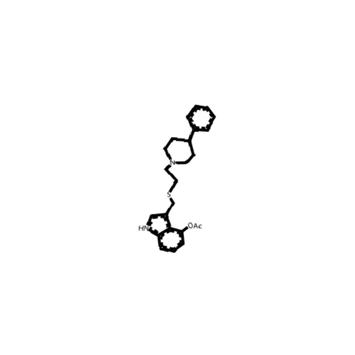 CC(=O)Oc1cccc2[nH]cc(CSCCN3CCC(c4ccccc4)CC3)c12